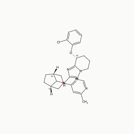 Cc1cc(N2C[C@H]3CC[C@@H](C2)C3Nc2nc3n(n2)CCC[C@H]3Oc2ccccc2Cl)ncn1